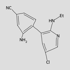 CCNc1ncc(Cl)cc1-c1ccc(C#N)cc1N